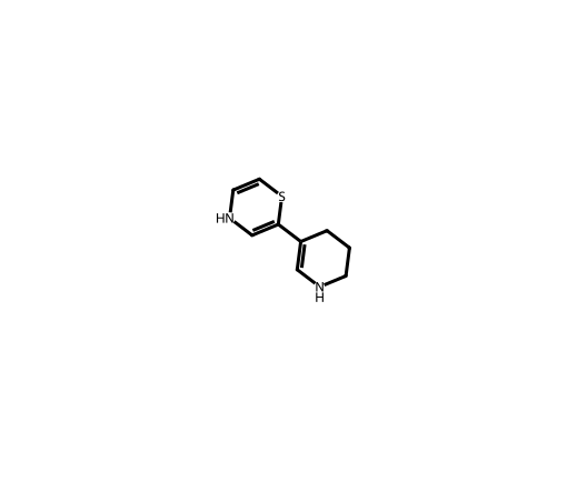 C1=CSC(C2=CNCCC2)=CN1